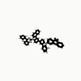 CC1(C)c2ccccc2-c2cc(-n3c4ccccc4c4cc(-c5ccc6c(c5)c5c7ccccc7ccc5n6-c5nc6c7c(cccc7n5)Sc5ccccc5-6)ccc43)ccc21